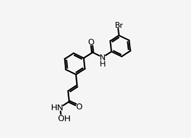 O=C(C=Cc1cccc(C(=O)Nc2cccc(Br)c2)c1)NO